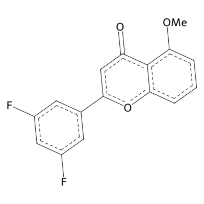 COc1cccc2oc(-c3cc(F)cc(F)c3)cc(=O)c12